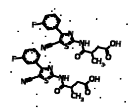 CC(CC(=O)O)C(=O)Nc1nc(-c2cccc(F)c2)c(C#N)s1.C[C@H](CC(=O)O)C(=O)Nc1nc(-c2cccc(F)c2)c(C#N)s1